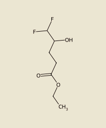 CCOC(=O)CCC(O)C(F)F